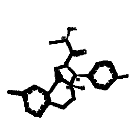 CC(=O)O[C@@H](C)C(=O)N1N=C2c3cc(C)ccc3CC[C@@H]2[C@@H]1c1ccc(C)cc1